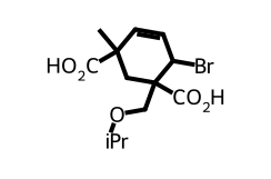 CC(C)OCC1(C(=O)O)CC(C)(C(=O)O)C=CC1Br